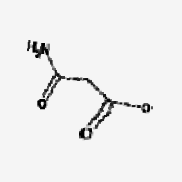 NC(=O)CC([O])=O